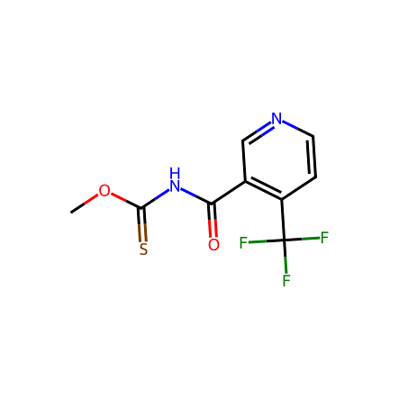 COC(=S)NC(=O)c1cnccc1C(F)(F)F